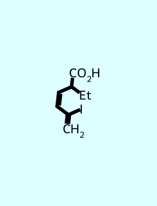 C=C(I)/C=C\C(CC)C(=O)O